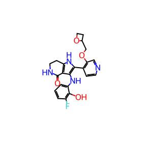 O=C1NCCc2[nH]c(-c3ccncc3OCC3CCO3)c(Nc3cccc(F)c3O)c21